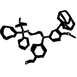 COc1ccc(N(CCO[Si](c2ccccc2)(c2ccccc2)C(C)(C)C)c2ccc(C=O)cc2)cc1C12CC3CC(CC(C3)C1)C2